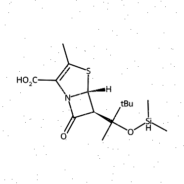 CC1=C(C(=O)O)N2C(=O)[C@H](C(C)(O[SiH](C)C)C(C)(C)C)[C@H]2S1